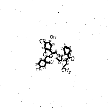 CCCC(C(=O)c1ccccc1)[n+]1ccn(CC(OCc2ccc(Cl)cc2Cl)c2ccc(Cl)cc2Cl)c1.[Br-]